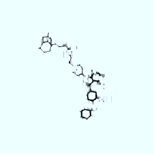 CC1CC2CCCC(CC[C@@H](C)C(=O)NCCN3CCC(n4nc(-c5ccc(Oc6ccccc6)c(N)c5)c5c(N)ncnc54)CC3)(C1)C2